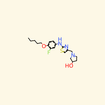 CCCCCOc1ccc(Nc2nc(CN3CCC(O)C3)cs2)cc1F